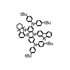 CC(C)(C)c1ccc(N(c2ccc(C(C)(C)C)cc2)c2ccc3c(c2)N(c2ccc4c(c2)C(C)(C)c2ccccc2-4)c2cc(N(c4ccc(C(C)(C)C)cc4)c4ccc(C(C)(C)C)cc4)cc4c2B3c2cccc3c2N4C2(C)CCCCC32C)cc1